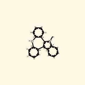 Cn1c2c(c3ccccc31)-c1ccccc1Oc1ccccc1-2